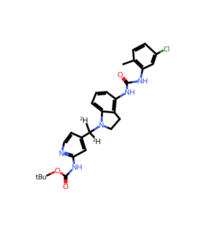 [2H]C([2H])(c1ccnc(NC(=O)OC(C)(C)C)c1)N1CCc2c(NC(=O)Nc3cc(Cl)ccc3C)cccc21